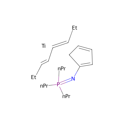 CCC=CC=CCC.CCCP(CCC)(CCC)=NC1=CC=CC1.[Ti]